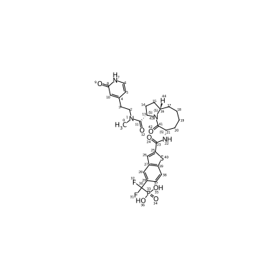 CN(CCc1cc[nH]c(=O)c1)C(=O)[C@@H]1CC[C@@H]2CCCC[C@H](NC(=O)c3cc4cc(C(F)(F)P(=O)(O)O)ccc4s3)C(=O)N21